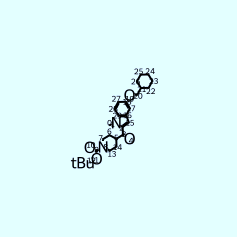 Cn1c(C(=O)C2CCN(C(=O)OC(C)(C)C)CC2)cc2cc(OCC3CCCCC3)ccc21